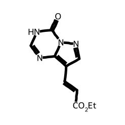 CCOC(=O)C=Cc1cnn2c(=O)[nH]cnc12